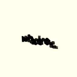 CC1COC(CN(C)C(=O)OC2(C)CC2)[C@H]1Oc1ncnc(OC2CCN(C(=O)OC(C)(C)C)CC2)c1F